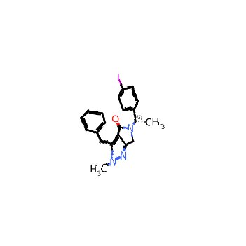 C[C@@H](c1ccc(I)cc1)N1Cc2nn(C)c(Cc3ccccc3)c2C1=O